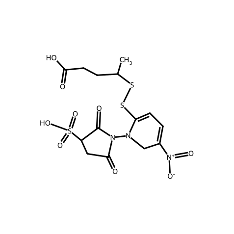 CC(CCC(=O)O)SSC1=CC=C([N+](=O)[O-])CN1N1C(=O)CC(S(=O)(=O)O)C1=O